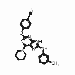 Cc1cccc(Nc2nc3c(N4CCCCC4)nc(Oc4ccc(C#N)cc4)nc3[nH]2)c1